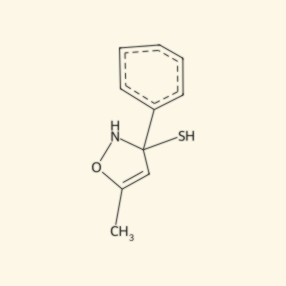 CC1=CC(S)(c2ccccc2)NO1